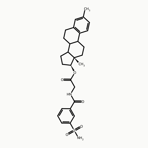 Cc1ccc2c(c1)CCC1C2CC[C@@]2(C)C1CC[C@@H]2OC(=O)CNC(=O)c1cccc(S(N)(=O)=O)c1